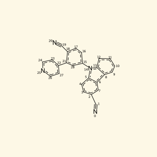 N#Cc1ccc2c(c1)c1ccccc1n2-c1ccc(C#N)c(-c2ccncc2)c1